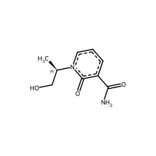 C[C@H](CO)n1cccc(C(N)=O)c1=O